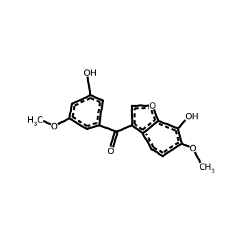 COc1cc(O)cc(C(=O)c2coc3c(O)c(OC)ccc23)c1